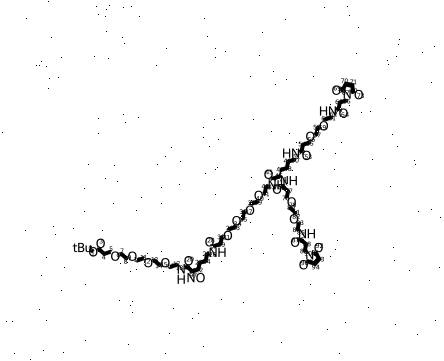 CC(C)(C)OC(=O)CCOCCOCCOCCOCCNC(=O)C(CCCCNC(=O)CCOCCOCCOCCOCCNC(=O)[C@@H](CCCCNC(=O)CCOCCOCCNC(=O)CCN1C(=O)C=CC1=O)NC(=O)CCOCCOCCNC(=O)CCN1C(=O)C=CC1=O)N=O